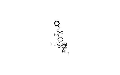 Nc1nnc([C@H]2CC[C@H](NC(=O)OCc3ccccc3)CN2C(=O)O)o1